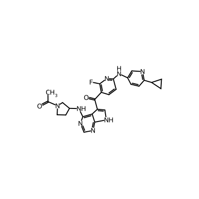 CC(=O)N1CCC(Nc2ncnc3[nH]cc(C(=O)c4ccc(Nc5ccc(C6CC6)nc5)nc4F)c23)C1